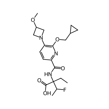 CCC(NC(=O)c1ccc(N2CC(OC)C2)c(OCC2CC2)n1)(C(=O)O)C(C)F